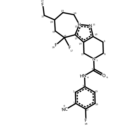 N#Cc1cc(NC(=O)N2CCc3nn4c(c3C2)C(F)(F)CC(CF)CC4)ccc1F